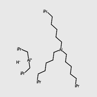 CC(C)CCCC[CH2][Al]([CH2]CCCCC(C)C)[CH2]CCCCC(C)C.CC(C)[CH2][Al+][CH2]C(C)C.[H-]